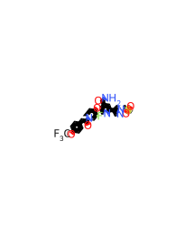 CS(=O)(=O)Cn1cc(-c2cc(C(N)=O)c(OC3CCN(C(=O)Cc4ccc(OC(F)(F)F)cc4)CC3F)cn2)cn1